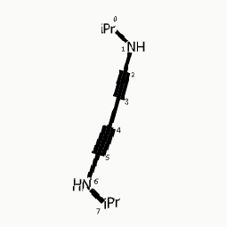 CC(C)NC#CC#CNC(C)C